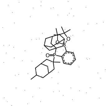 CC1CC2CC(C1)CC(C)(P(=O)(c1ccccc1B1OC(C)(C)C(C)(C)O1)C13CC4CC(CC(C4)C1)C3)C2